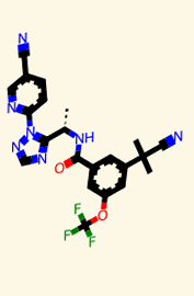 C[C@H](NC(=O)c1cc(OC(F)(F)F)cc(C(C)(C)C#N)c1)c1ncnn1-c1ccc(C#N)cn1